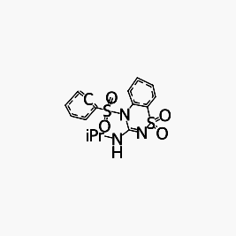 CC(C)NC1=NS(=O)(=O)c2ccccc2N1S(=O)(=O)c1ccccc1